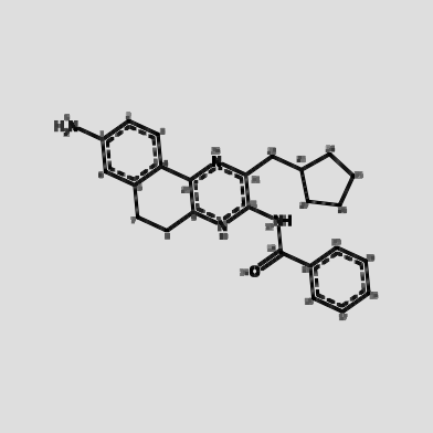 Nc1ccc2c(c1)CCc1nc(NC(=O)c3ccccc3)c(CC3CCCC3)nc1-2